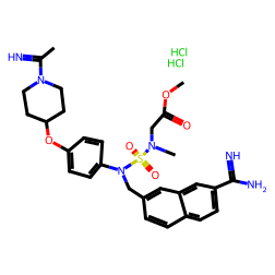 COC(=O)CN(C)S(=O)(=O)N(Cc1ccc2ccc(C(=N)N)cc2c1)c1ccc(OC2CCN(C(C)=N)CC2)cc1.Cl.Cl